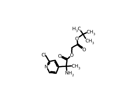 CC(C)(C)OC(=O)COC(=O)C(C)(N)c1ccnc(Cl)c1